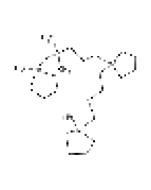 CCC[N+]1(CCCC[N+]2(CCCC(C)(C)C[N+]3(C)CCCC3)CCCC2)CCCC1